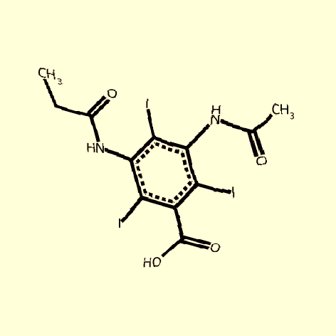 CCC(=O)Nc1c(I)c(NC(C)=O)c(I)c(C(=O)O)c1I